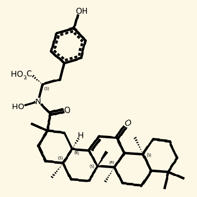 CC1(C(=O)N(O)[C@@H](Cc2ccc(O)cc2)C(=O)O)CC[C@]2(C)CC[C@]3(C)C(=CC(=O)C4[C@@]5(C)CCCC(C)(C)C5CC[C@]43C)[C@@H]2C1